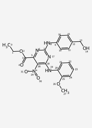 CCOC(=O)c1nc(Nc2ccc(CO)cc2)nc(Nc2ccccc2OC)c1[N+](=O)[O-]